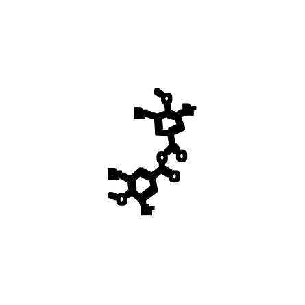 COc1c(Br)cc(C(=O)OC(=O)c2cc(Br)c(OC)c(Br)c2)cc1Br